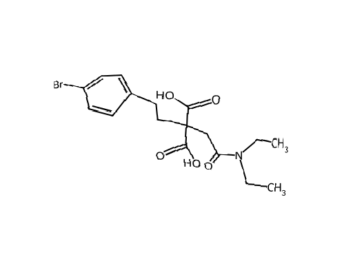 CCN(CC)C(=O)CC(CCc1ccc(Br)cc1)(C(=O)O)C(=O)O